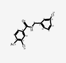 CC(=O)c1ccc(C(=O)NCc2cccc(Cl)c2)cc1Cl